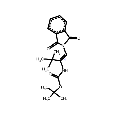 CC(C)(C)OC(=O)N/C(=C/N1C(=O)c2ccccc2C1=O)C(C)(C)C